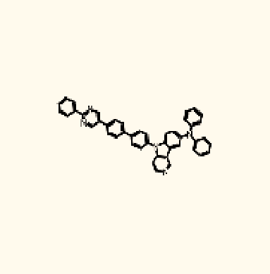 c1ccc(-c2ncc(-c3ccc(-c4ccc(-n5c6ccncc6c6cc(N(c7ccccc7)c7ccccc7)ccc65)cc4)cc3)cn2)cc1